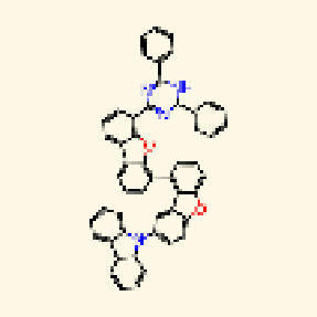 C1=CC2c3ccccc3N(c3ccc4oc5cccc(-c6cccc7c6oc6c(C8=NC(c9ccccc9)NC(c9ccccc9)=N8)cccc67)c5c4c3)C2C=C1